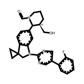 O=CN1CCC[C@@H](CO)C1c1ccc2c(c1)N(c1ncc(-c3ccccc3F)cn1)CC21CC1